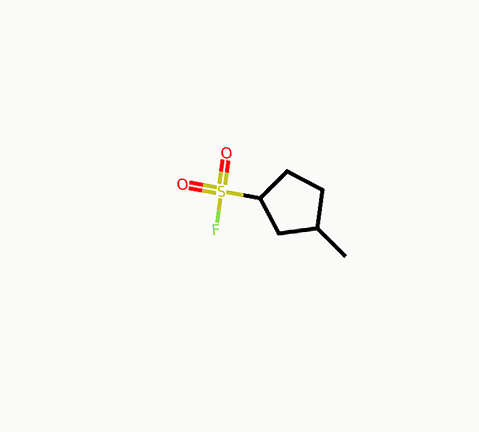 CC1CCC(S(=O)(=O)F)C1